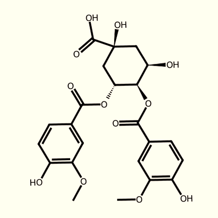 COc1cc(C(=O)O[C@@H]2[C@H](O)C[C@@](O)(C(=O)O)C[C@H]2OC(=O)c2ccc(O)c(OC)c2)ccc1O